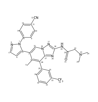 Cc1c(-c2ccnn2-c2ccc(C#N)cc2)cn2nc(NC(=O)CN(C)C)nc2c1-c1cccc(C(F)(F)F)c1